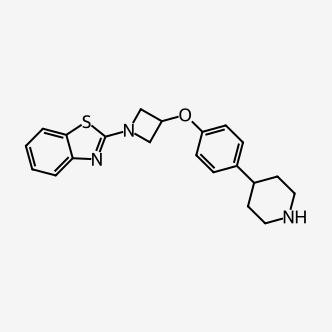 c1ccc2sc(N3CC(Oc4ccc(C5CCNCC5)cc4)C3)nc2c1